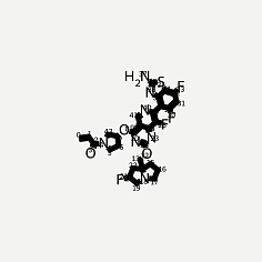 C=CC(=O)N1CCC(Oc2nc(OCC34CCCN3CC(F)C4)nc3c(F)c(-c4c(F)cc(F)c5sc(N)nc45)ncc23)C1